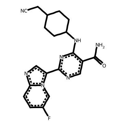 N#CCC1CCC(Nc2nc(-c3cnc4ccc(F)cn34)ncc2C(N)=O)CC1